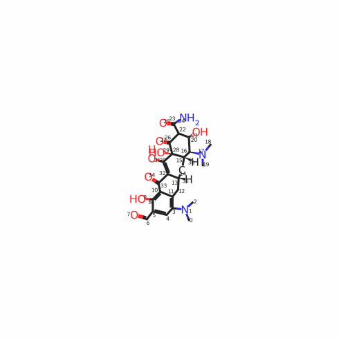 CN(C)c1cc(C=O)c(O)c2c1C[C@H]1C[C@H]3[C@H](N(C)C)C(O)C(C(N)=O)C(=O)[C@@]3(O)C(O)=C1C2=O